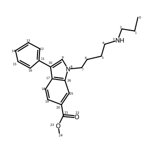 CCCNCCCCn1cc(-c2ccccc2)c2ccc(C(=O)OC)cc21